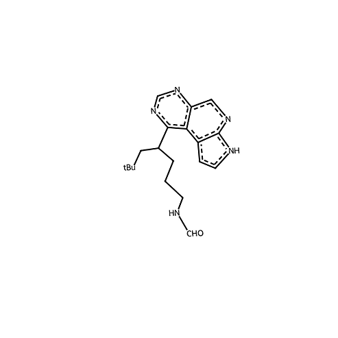 CC(C)(C)CC(CCCNC=O)c1ncnc2cnc3[nH]ccc3c12